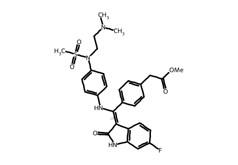 COC(=O)Cc1ccc(/C(Nc2ccc(N(CCN(C)C)S(C)(=O)=O)cc2)=C2/C(=O)Nc3cc(F)ccc32)cc1